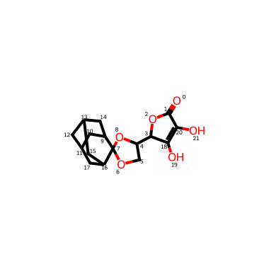 O=C1OC(C2COC3(O2)C2CC4CC(C2)CC3C4)C(O)=C1O